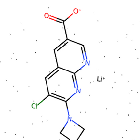 O=C([O-])c1cnc2nc(N3CCC3)c(Cl)cc2c1.[Li+]